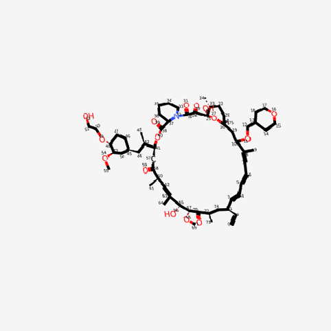 C=C[C@@H]1/C=C/C=C/C=C(\C)C(OCC2CCOCC2)C[C@@H]2CC[C@@H](C)[C@@](O)(O2)C(=O)C(=O)N2CCCCC2C(=O)O[C@H]([C@H](C)C[C@@H]2CC[C@@H](OCCO)[C@H](OC)C2)CC(=O)[C@H](C)/C=C(\C)[C@@H](O)[C@@H](OC)C(=O)[C@H](C)C1